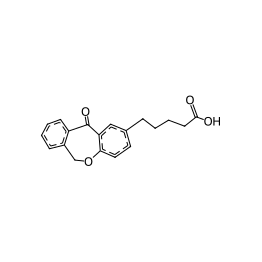 O=C(O)CCCCc1ccc2c(c1)C(=O)c1ccccc1CO2